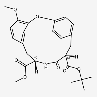 COC(=O)[C@@H]1Cc2ccc(OC)c(c2)Oc2ccc(cc2)C[C@H](C(=O)OC(C)(C)C)C(=O)N1